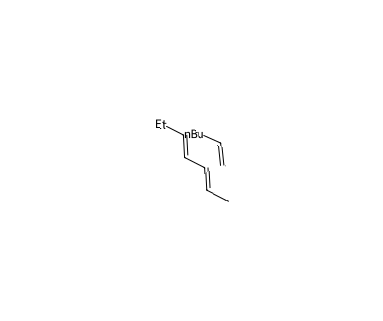 C=CCCCC.CC=CC=CCC